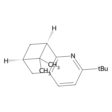 CC(C)(C)c1ccc2c(n1)[C@@H]1C[C@H](C2)C1(C)C